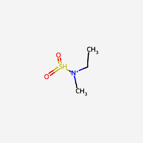 CC[N+](C)[SH](=O)=O